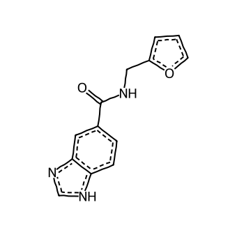 O=C(NCc1ccco1)c1ccc2[nH]cnc2c1